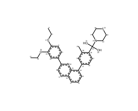 CCOc1ccc(-c2cnc3cccc(-c4ccc(C(O)(O)N5CCSCC5)c(C)c4)c3n2)cc1OCC